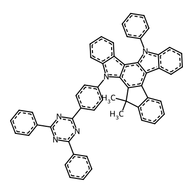 CC1(C)c2ccccc2-c2c1c1c(c3ccccc3n1-c1ccc(-c3nc(-c4ccccc4)nc(-c4ccccc4)n3)cc1)c1c2c2ccccc2n1-c1ccccc1